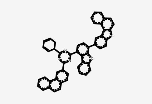 C1=CCC(c2nc(-c3ccc4ccc5ccccc5c4c3)nc(-c3ccc(-c4ccc5oc6ccc7ccccc7c6c5c4)c4oc5ccccc5c34)n2)C=C1